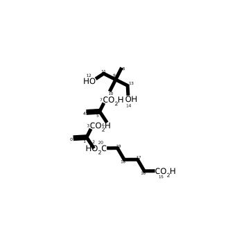 C=C(C)C(=O)O.C=C(C)C(=O)O.CC(C)(CO)CO.O=C(O)CCCCC(=O)O